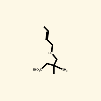 C/C=C/CPCC(C)(N)CC(=O)OCC